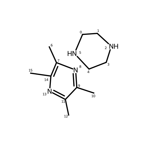 C1CNCCN1.Cc1nc(C)c(C)nc1C